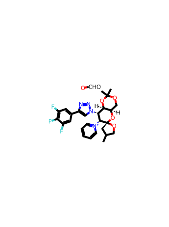 CC1CO[C@@]2(C1)O[C@@H]1COC(C)(C)O[C@@H]1[C@@H](n1cc(-c3cc(F)c(F)c(F)c3)nn1)[C@H]2[n+]1ccccc1.O=C[O-]